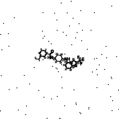 CCc1cccc(C(=O)NC2CCC(Nc3cccc4nc(C(F)(F)F)cn34)CC2)c1